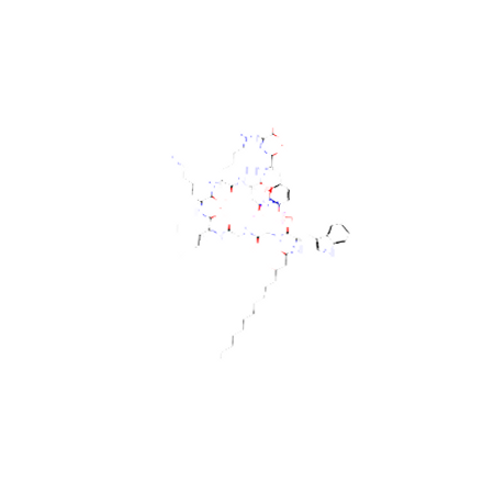 CCCCCCCCCCCC(O)CC(=O)N[C@@H](Cc1c[nH]c2ccccc12)C(=O)NCC(=O)NCC(=O)N[C@H](C(=O)N[C@@H](CCCCN)C(=O)N[C@@H](CCCCN)C(=O)N[C@@H](CC(N)=O)C(=O)N[C@@H](Cc1ccc(O)cc1)C(=O)N[C@@H](C)C(=O)O)[C@@H](C)CC